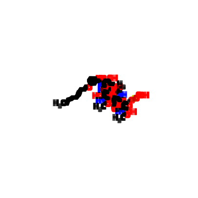 CCCCCCC#CCCCOc1cccc(C(=O)N[C@@H]2C(O[C@H]3C(O)C(NC(C)=O)C(OC4C(CO)O[C@@H](O[C@H]5C(O)C(NC(C)=O)C(O)O[C@H]5COSOOO)[C@@H](NC(C)=O)[C@H]4O)O[C@H]3CO)OC(CO)[C@@H](O)[C@@H]2O)c1